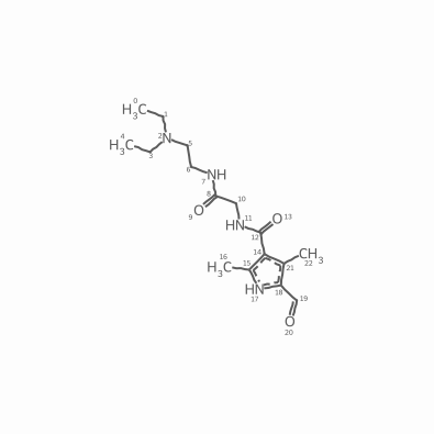 CCN(CC)CCNC(=O)CNC(=O)c1c(C)[nH]c(C=O)c1C